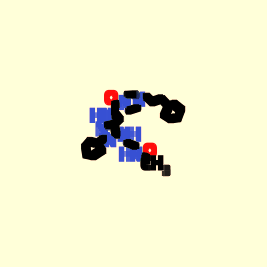 CC(=O)NCCNc1nc(-c2ccccc2)nc2[nH]c(C(=O)N3CCN(CC=Cc4ccccc4)CC3)cc12